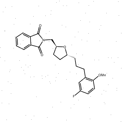 COc1ccc(F)cc1CCC[C@@H]1CC[C@@H](CN2C(=O)c3ccccc3C2=O)O1